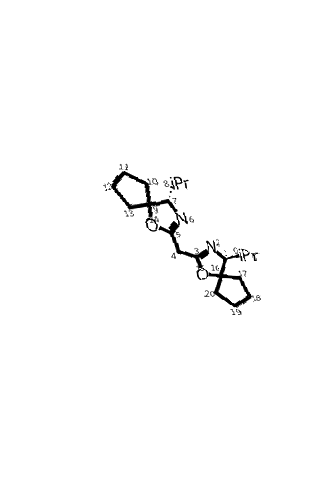 CC(C)[C@@H]1N=C(CC2=N[C@@H](C(C)C)C3(CCCC3)O2)OC12CCCC2